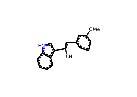 COc1cccc(/C=C(\C#N)c2c[nH]c3ccccc23)c1